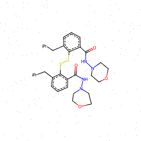 CC(C)Cc1cccc(C(=O)NN2CCOCC2)c1SSc1c(CC(C)C)cccc1C(=O)NN1CCOCC1